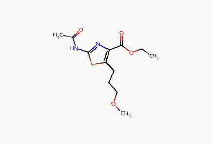 CCOC(=O)c1nc(NC(C)=O)sc1CCCOC